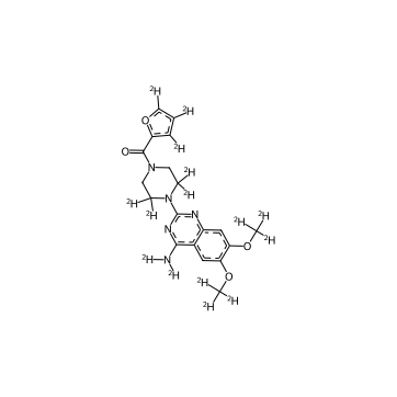 [2H]c1oc(C(=O)N2CC([2H])([2H])N(c3nc(N([2H])[2H])c4cc(OC([2H])([2H])[2H])c(OC([2H])([2H])[2H])cc4n3)C([2H])([2H])C2)c([2H])c1[2H]